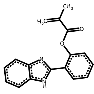 C=C(C)C(=O)Oc1ccccc1-c1nc2ccccc2[nH]1